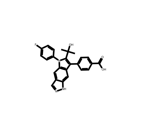 CC(C)(O)c1c(-c2ccc(C(=O)O)cc2)c2cc3[nH]ncc3cc2n1-c1ccc(F)cc1